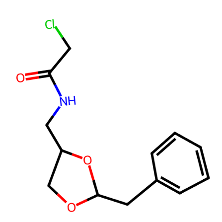 O=C(CCl)NCC1COC(Cc2ccccc2)O1